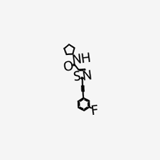 O=C(NC1CCCC1)c1cnc(C#Cc2cccc(F)c2)s1